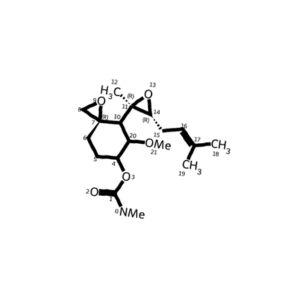 CNC(=O)OC1CC[C@]2(CO2)C([C@@]2(C)O[C@@H]2CC=C(C)C)C1OC